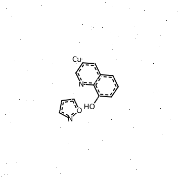 Oc1cccc2cccnc12.[Cu].c1cnoc1